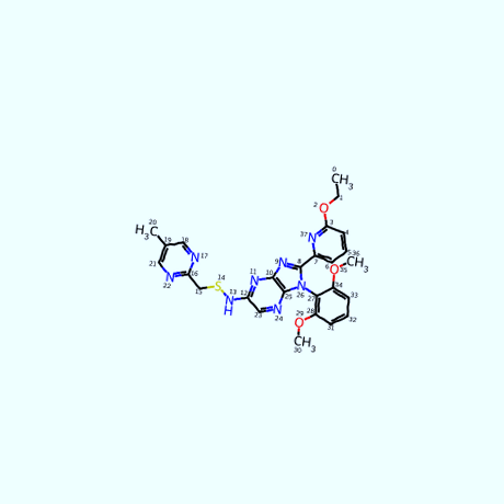 CCOc1cccc(-c2nc3nc(NSCc4ncc(C)cn4)cnc3n2-c2c(OC)cccc2OC)n1